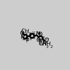 COc1cc(-c2ccc(C3=NOC(CC(C(N)=O)[S+](C)[O-])C3)cc2)c(F)cn1